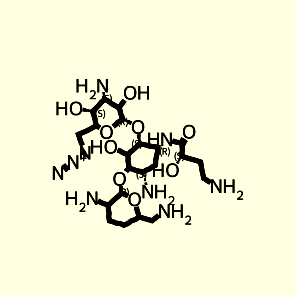 [N-]=[N+]=NCC1O[C@H](O[C@@H]2C(O)C(O[C@H]3OC(CN)CCC3N)[C@@H](N)C[C@H]2NC(=O)[C@@H](O)CCN)C(O)[C@@H](N)[C@@H]1O